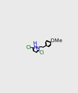 COc1ccc(CCN2NC(Cl)=CC=C2Cl)cc1